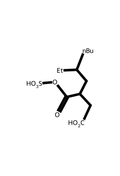 CCCCC(CC)CC(CC(=O)O)C(=O)OS(=O)(=O)O